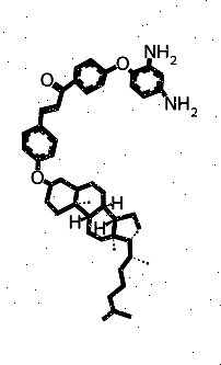 CC(C)CCC[C@@H](C)[C@H]1CC[C@H]2[C@@H]3CCC4CC(Oc5ccc(C=CC(=O)c6ccc(Oc7ccc(N)cc7N)cc6)cc5)CC[C@]4(C)[C@H]3CC[C@]12C